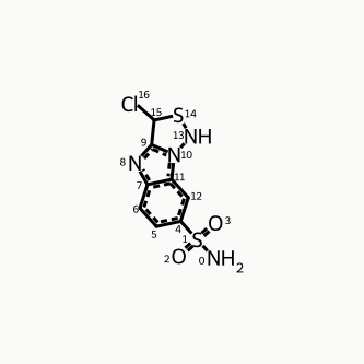 NS(=O)(=O)c1ccc2nc3n(c2c1)NSC3Cl